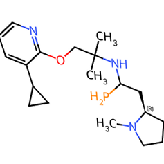 CN1CCC[C@@H]1CC(P)NC(C)(C)COc1ncccc1C1CC1